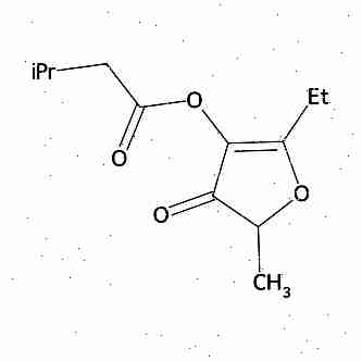 CCC1=C(OC(=O)CC(C)C)C(=O)C(C)O1